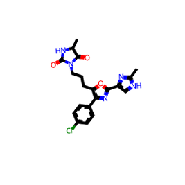 Cc1nc(-c2nc(-c3ccc(Cl)cc3)c(CCCN3C(=O)NC(C)C3=O)o2)c[nH]1